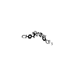 CC(c1ccc(Cl)cc1)c1noc(CN2CCN(c3ccc(C(F)(F)F)cn3)CC2)n1